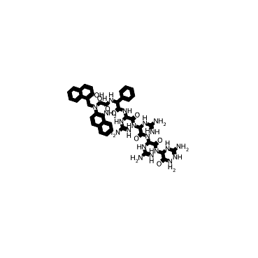 N=C(N)NC(NC(=O)C(NC(=N)N)NC(=O)C(NC(=N)N)NC(=O)C(NC(=N)N)NC(=O)C(NC(=O)C(O)N(Cc1c(O)ccc2ccccc12)c1ccc2ccccc2c1N)c1ccccc1)C(N)=O